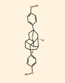 CCCOc1ccc(C23CC4C5CC6(c7ccc(OCCC)cc7)C[C@H]4C(C2)[C@H](C6)C5C3)cc1